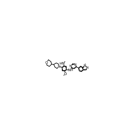 CNc1cc(Nc2cc(-c3ccc4cnn(C)c4c3)ncn2)c(OC)cc1N1CCC(C2CCOCC2)CC1